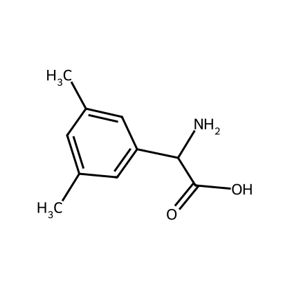 Cc1cc(C)cc(C(N)C(=O)O)c1